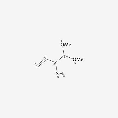 C=CC([SiH3])C(OC)OC